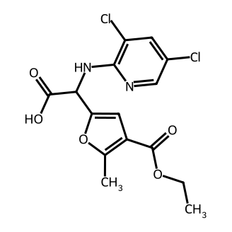 CCOC(=O)c1cc(C(Nc2ncc(Cl)cc2Cl)C(=O)O)oc1C